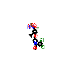 COC[C@](C)(c1cc(Cl)cc(Cl)c1)N1CCC(COc2cc(F)c(C(=O)NS(C)(=O)=O)cc2C2CC2)CC1